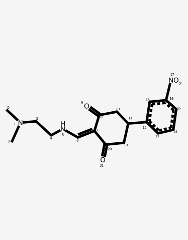 CN(C)CCNC=C1C(=O)CC(c2cccc([N+](=O)[O-])c2)CC1=O